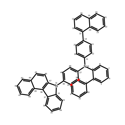 c1ccc(-c2ccccc2N(c2ccc(-c3cccc4ccccc34)cc2)c2ccc(-n3c4ccccc4c4c5ccccc5ccc43)cc2)cc1